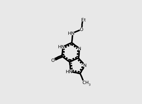 CCONc1nc2nc(C)[nH]c2c(=O)[nH]1